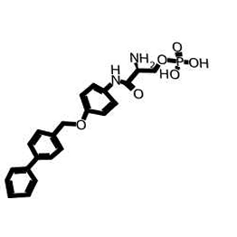 N[C@@H](COP(=O)(O)O)C(=O)Nc1ccc(OCc2ccc(-c3ccccc3)cc2)cc1